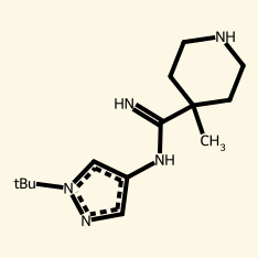 CC1(C(=N)Nc2cnn(C(C)(C)C)c2)CCNCC1